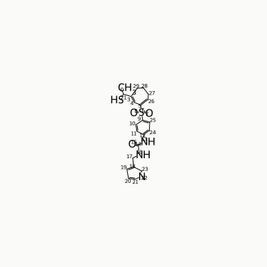 CC(S)C1=CC(S(=O)(=O)c2ccc(NC(=O)NCc3cccnc3)cc2)=CCCC1